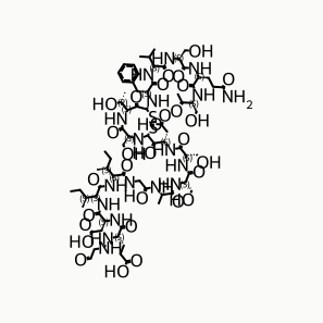 CC[C@H](C)[C@H](NC(=O)[C@H](CC(=O)O)NC(=O)[C@H](CCC(=O)O)NNCC=O)C(=O)N[C@H](C(=O)NCC(=O)NC(C)C(=O)N[C@@H](CO)C(=O)N[C@@H](CO)C(=O)N[C@@H](CC(=O)O)C(=O)C1N[C@@H](CO)C(=O)N[C@@H]([C@@H](C)O)C(=O)C(N[C@@H](Cc2ccccc2)C(=O)N[C@H](C(=O)N[C@@H](CO)C(=O)N[C@@H](CCC(N)=O)C(=O)N[C@@H](CO)C(C)=O)C(C)C)SS1)[C@@H](C)CC